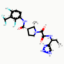 C[C@H]1[C@@H](C(=O)Nc2ccc(F)c(C(F)F)c2F)CCN1C(=O)C(=O)NC(CC(F)(F)F)c1c[nH]nn1